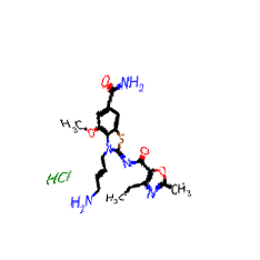 CCc1nc(C)oc1C(=O)/N=c1\sc2cc(C(N)=O)cc(OC)c2n1C/C=C/CN.Cl